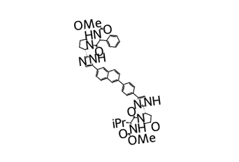 COC(=O)N[C@H](C(=O)N1CC(=O)C[C@H]1c1nc(-c2ccc(-c3ccc4cc(-c5cnc([C@@H]6CCCN6C(=O)[C@H](NC(=O)OC)c6ccccc6)[nH]5)ccc4c3)cc2)c[nH]1)C(C)C